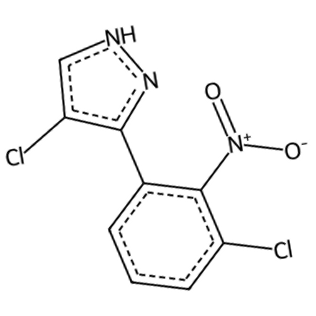 O=[N+]([O-])c1c(Cl)cccc1-c1n[nH]cc1Cl